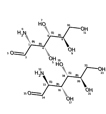 N[C@@H](C=O)[C@@H](O)[C@H](O)[C@H](O)CO.N[C@H](C=O)[C@@H](O)[C@H](O)[C@H](O)CO